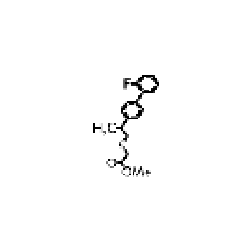 COC(=O)CSCC(C)c1ccc(-c2ccccc2F)cc1